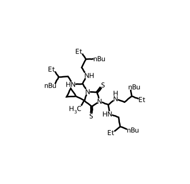 CCCCC(CC)CNC(NCC(CC)CCCC)N1C(=S)N(C(NCC(CC)CCCC)NCC(CC)CCCC)C(C)(C2CC2)C1=S